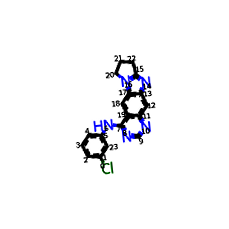 Clc1cccc(Nc2ncnc3cc4nc5n(c4cc23)CCC5)c1